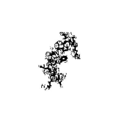 CC[C@H](C)[C@H](NC(=O)[C@H](Cc1ccccc1)NC(=O)[C@H](C)NC(=O)[C@H](C)NC(=O)[C@@H]1CCCN1C(=O)[C@H](CCC(N)=O)NC(=O)[C@@H](NC(=O)[C@@H](N)Cc1c[nH]cn1)[C@@H](C)CC)C(=O)N[C@@H](CCCCN)C(=O)N[C@@H](CC(C)C)C(=O)O